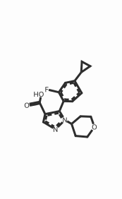 O=C(O)c1cnn(C2CCOCC2)c1-c1ccc(C2CC2)cc1F